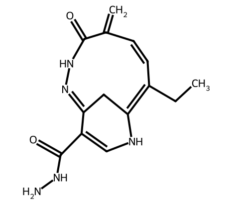 C=C1/C=C\C(CC)=C2/C/C(=N\NC1=O)C(C(=O)NN)=CN2